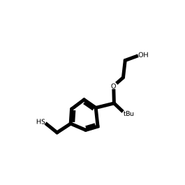 CC(C)(C)C(OCCO)c1ccc(CS)cc1